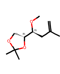 C=C(C)C[C@H](OC)[C@H]1COC(C)(C)O1